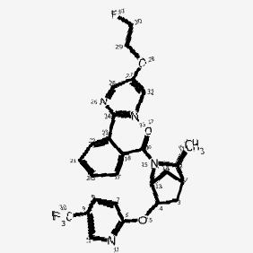 CC1C2CC(Oc3ccc(C(F)(F)F)cn3)C(C2)N1C(=O)c1ccccc1-c1ncc(OCCF)cn1